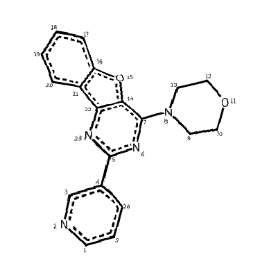 c1cncc(-c2nc(N3CCOCC3)c3oc4ccccc4c3n2)c1